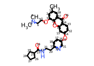 Cc1cc(OCCN(C)C)c2oc3cc(Oc4ccc(CCNC(=O)C5CCCC5)nc4)ccc3c(=O)c2c1